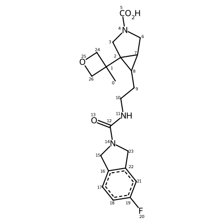 CC1(C23CN(C(=O)O)CC2C3CCNC(=O)N2Cc3ccc(F)cc3C2)COC1